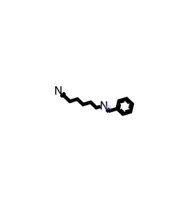 N#CCCCCC/N=C/c1ccccc1